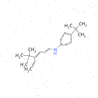 C=C/C(=C\C=C\Nc1ccc(C(C)(C)C)cc1)C(C)(C)C